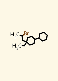 CCC1(CC(C)Br)CCC(C2CCCCC2)CC1